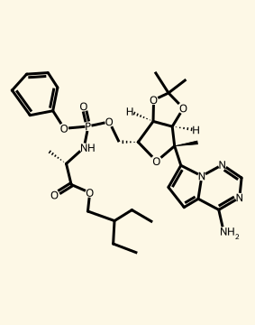 CCC(CC)COC(=O)[C@H](C)NP(=O)(OC[C@H]1O[C@@](C)(c2ccc3c(N)ncnn23)[C@@H]2OC(C)(C)O[C@@H]21)Oc1ccccc1